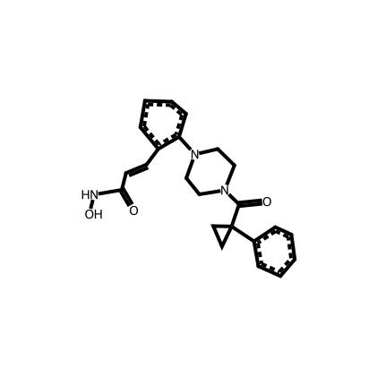 O=C(/C=C/c1ccccc1N1CCN(C(=O)C2(c3ccccc3)CC2)CC1)NO